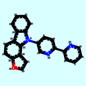 c1ccc(-c2ccc(-n3c4ccccc4c4ccc5occc5c43)cn2)nc1